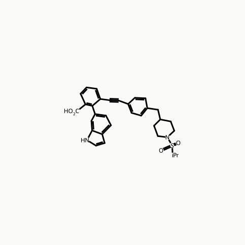 CC(C)S(=O)(=O)N1CCC(Cc2ccc(C#Cc3cccc(C(=O)O)c3-c3ccc4cc[nH]c4c3)cc2)CC1